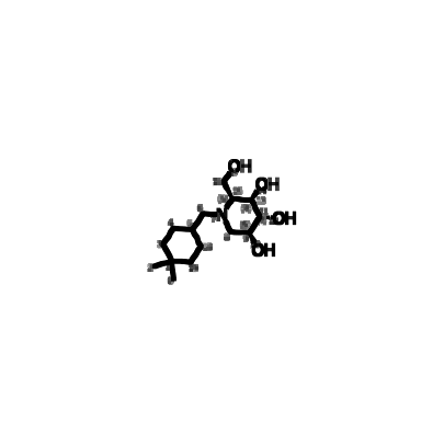 CC1(C)CCC(CN2C[C@H](O)[C@@H](O)[C@H](O)[C@@H]2CO)CC1